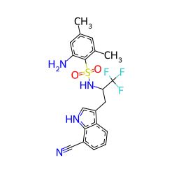 Cc1cc(C)c(S(=O)(=O)NC(Cc2c[nH]c3c(C#N)cccc23)C(F)(F)F)c(N)c1